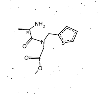 COC(=O)CN(Cc1cccs1)C(=O)[C@@H](C)N